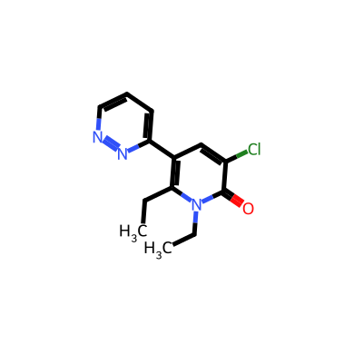 CCc1c(-c2cccnn2)cc(Cl)c(=O)n1CC